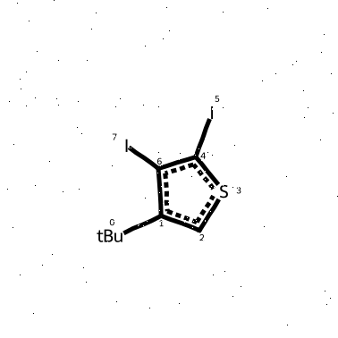 CC(C)(C)c1csc(I)c1I